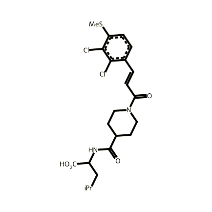 CSc1ccc(C=CC(=O)N2CCC(C(=O)NC(CC(C)C)C(=O)O)CC2)c(Cl)c1Cl